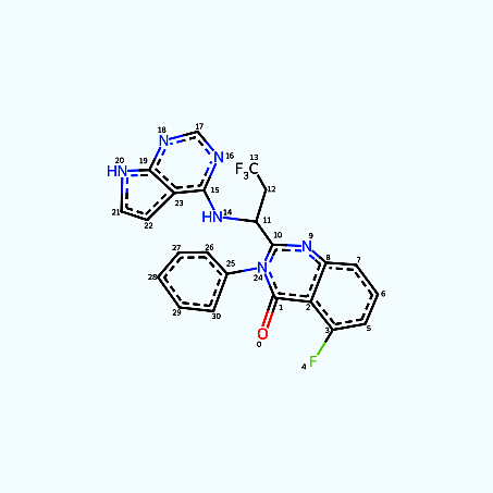 O=c1c2c(F)cccc2nc(C(CC(F)(F)F)Nc2ncnc3[nH]ccc23)n1-c1ccccc1